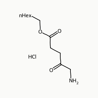 CCCCCCCOC(=O)CCC(=O)CN.Cl